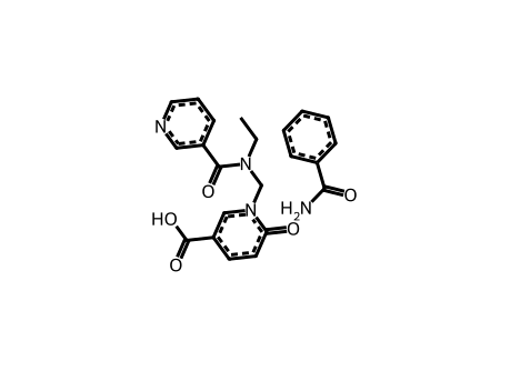 CCN(Cn1cc(C(=O)O)ccc1=O)C(=O)c1cccnc1.NC(=O)c1ccccc1